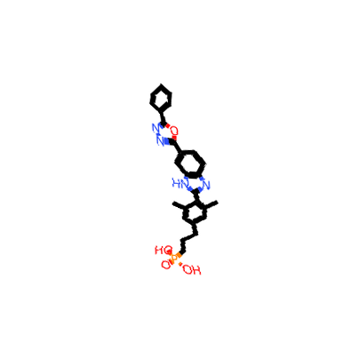 Cc1cc(CCCP(=O)(O)O)cc(C)c1-c1nc2ccc(-c3nnc(-c4ccccc4)o3)cc2[nH]1